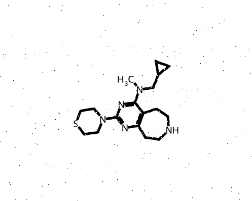 CN(CC1CC1)c1nc(N2CCSCC2)nc2c1CCNCC2